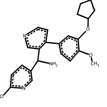 COc1ccc(-c2ccncc2C(N)c2ccc(Cl)nc2)cc1OC1CCCC1